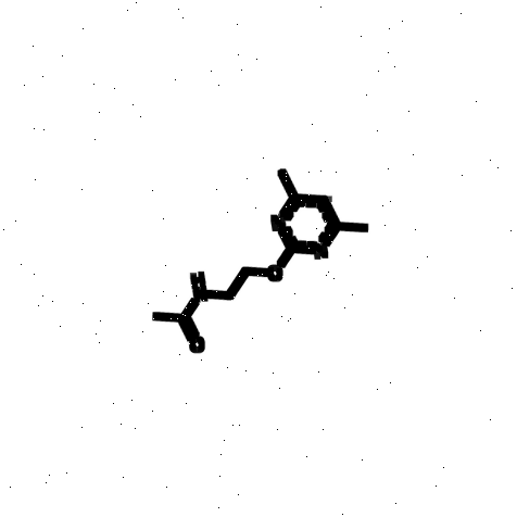 CC(=O)NCCOc1nc(C)[c]c(C)n1